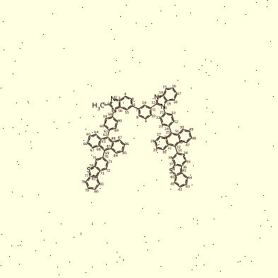 Cc1nc2ccc(-c3cccc(-c4nc5ccccc5n4-c4ccc(-c5c6ccccc6c(-c6ccc7c(c6)sc6ccccc67)c6ccccc56)cc4)c3)cc2n1-c1ccc(-c2c3ccccc3c(-c3ccc4c(c3)sc3ccccc34)c3ccccc23)cc1